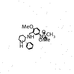 COc1ccc(N(OC)S(C)(=O)=O)cc1CN[C@H]1CCCN[C@H]1c1ccccc1